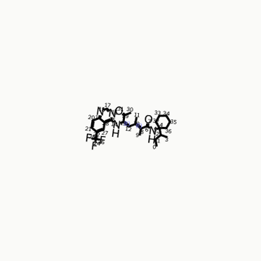 CCC(C)C1(NC(=O)/C(C)=C(C)/C=C(/Nc2ncnc3ccc(C(F)(F)F)cc23)C(C)=O)CCCCC1